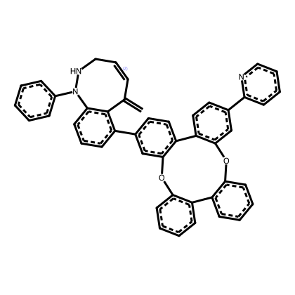 C=C1/C=C\CNN(c2ccccc2)c2cccc(-c3ccc4c(c3)Oc3ccccc3-c3ccccc3Oc3cc(-c5ccccn5)ccc3-4)c21